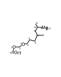 CCCCCCCCOCOCCCC(C)C[CH](C)[Mg][I]